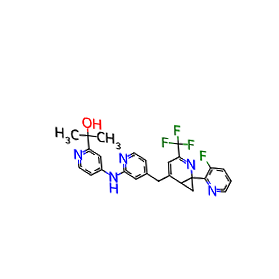 CC(C)(O)c1cc(Nc2cc(CC3=CC(C(F)(F)F)=NC4(c5ncccc5F)CC34)ccn2)ccn1